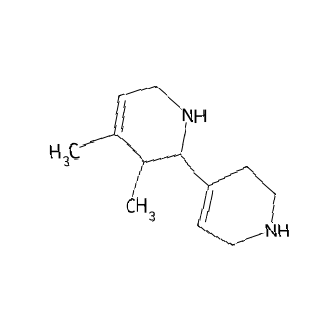 CC1=CCNC(C2=CCNCC2)C1C